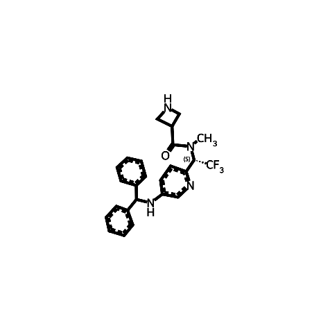 CN(C(=O)C1CNC1)[C@@H](c1ccc(NC(c2ccccc2)c2ccccc2)cn1)C(F)(F)F